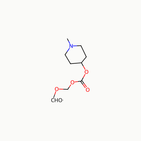 CN1CCC(OC(=O)OCO[C]=O)CC1